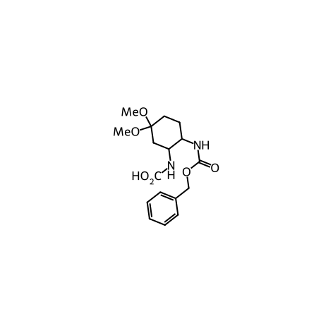 COC1(OC)CCC(NC(=O)OCc2ccccc2)C(NC(=O)O)C1